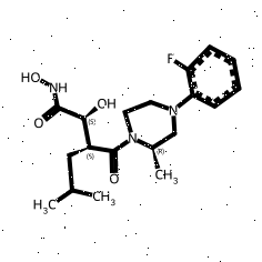 CC(C)C[C@H](C(=O)N1CCN(c2ccccc2F)C[C@H]1C)[C@H](O)C(=O)NO